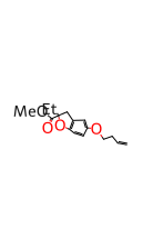 C=CCCOc1ccc2c(c1)C[C@@](CC)(C(=O)OC)O2